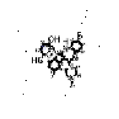 Cc1ccc2sc3c(c2c1)C(N1CCN(C)CC1)=Nc1ccc(F)cc1N3.O=C(O)/C=C\C(=O)O